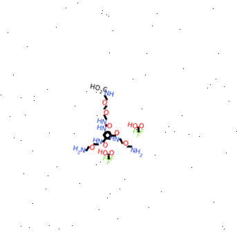 NCCOCCNC(=O)c1cc(NC(=O)NCCOCCOCCNC(=O)O)cc(C(=O)NCCOCCN)c1.O=C(O)C(F)(F)F.O=C(O)C(F)(F)F